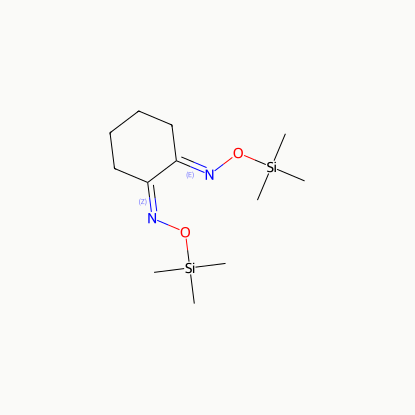 C[Si](C)(C)O/N=C1/CCCC/C1=N\O[Si](C)(C)C